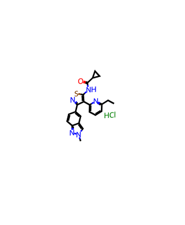 CCc1cccc(-c2c(-c3ccc4nn(C)cc4c3)nsc2NC(=O)C2CC2)n1.Cl